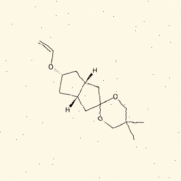 C=CO[C@@H]1C[C@@H]2CC3(C[C@@H]2C1)OCC(C)(C)CO3